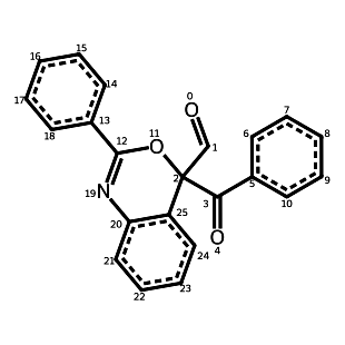 O=CC1(C(=O)c2ccccc2)OC(c2ccccc2)=Nc2ccccc21